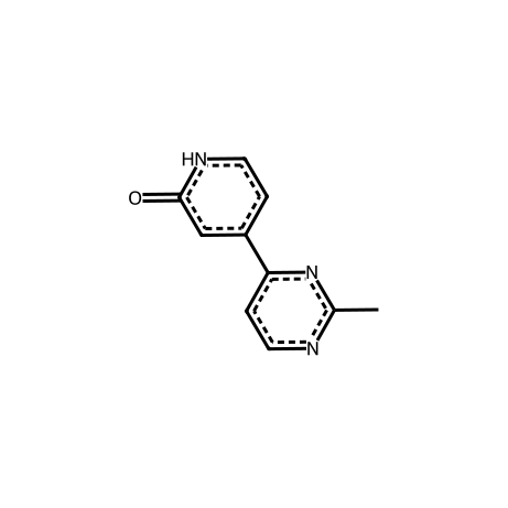 Cc1nccc(-c2cc[nH]c(=O)c2)n1